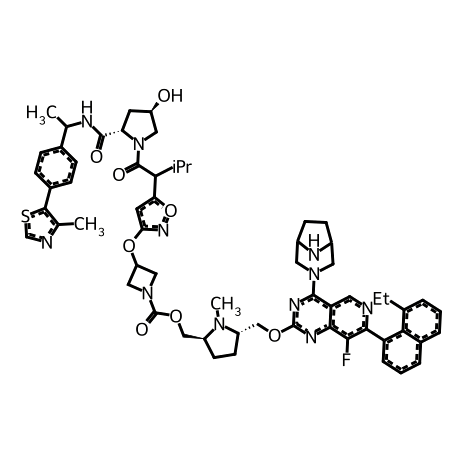 CCc1cccc2cccc(-c3ncc4c(N5CC6CCC(C5)N6)nc(OC[C@@H]5CC[C@@H](COC(=O)N6CC(Oc7cc(C(C(=O)N8C[C@H](O)C[C@H]8C(=O)NC(C)c8ccc(-c9scnc9C)cc8)C(C)C)on7)C6)N5C)nc4c3F)c12